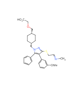 CN=CCSc1nn(C[C@H]2CC[C@@H](COCC(=O)O)CC2)c(-c2ccccc2)c1-c1cccc(OC)c1